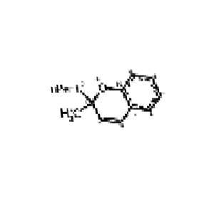 CCCCCC1(C)C=Cc2c[c]ccc2O1